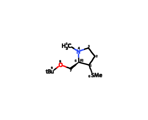 CSC1CCN(C)[C@@H]1COC(C)(C)C